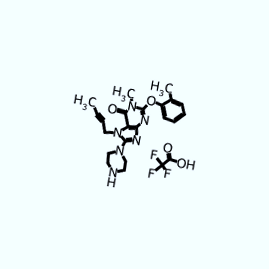 CC#CCn1c(N2CCNCC2)nc2nc(Oc3ccccc3C)n(C)c(=O)c21.O=C(O)C(F)(F)F